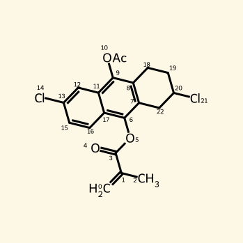 C=C(C)C(=O)Oc1c2c(c(OC(C)=O)c3cc(Cl)ccc13)CCC(Cl)C2